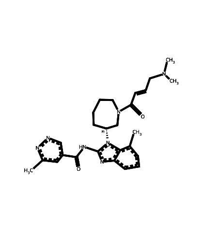 Cc1cc(C(=O)Nc2nc3cccc(C)c3n2[C@@H]2CCCCN(C(=O)C=CCN(C)C)C2)cnn1